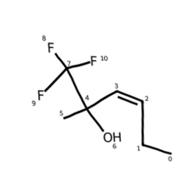 CC/C=C\C(C)(O)C(F)(F)F